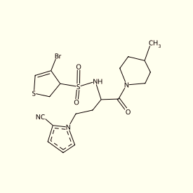 CC1CCN(C(=O)C(CCn2cccc2C#N)NS(=O)(=O)C2CSC=C2Br)CC1